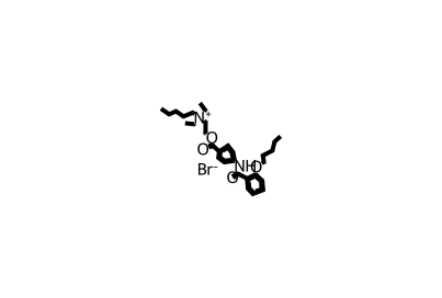 CCCCCOc1ccccc1C(=O)Nc1ccc(C(=O)OCC[N+](CC)(CC)CCCCC)cc1.[Br-]